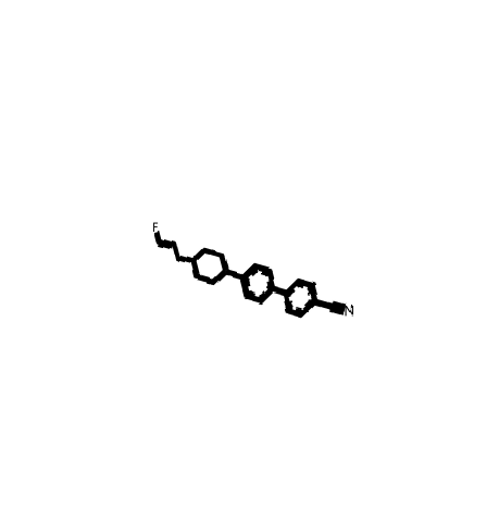 N#Cc1ccc(-c2ccc(C3CCC(CC=CF)CC3)cc2)cc1